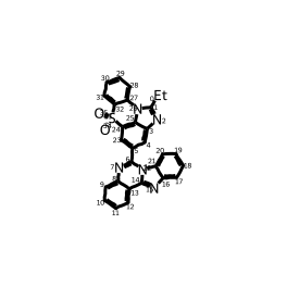 CCc1nc2cc(-c3nc4ccccc4c4nc5ccccc5n34)cc3c2n1-c1ccccc1S3(=O)=O